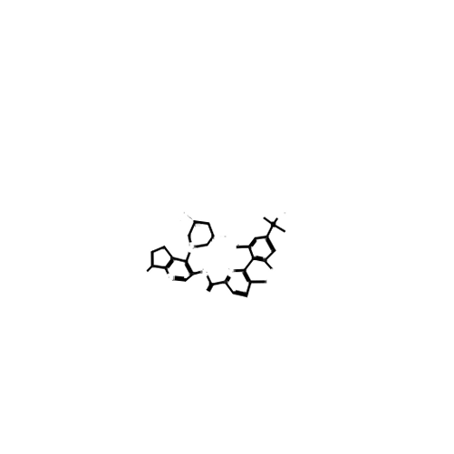 CC(C)(O)c1cc(F)c(-c2nc(C(=O)Nc3cnc4c(c3N3C[C@@H](N)C[C@H](C(F)(F)F)C3)CCC4O)ccc2F)c(F)c1